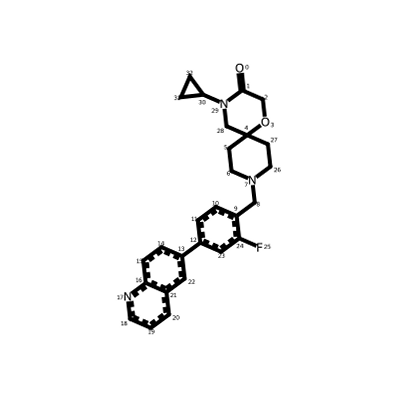 O=C1COC2(CCN(Cc3ccc(-c4ccc5ncccc5c4)cc3F)CC2)CN1C1CC1